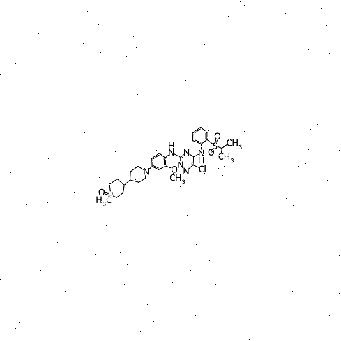 COc1cc(N2CCC(C3CCP(C)(=O)CC3)CC2)ccc1Nc1nnc(Cl)c(Nc2ccccc2S(=O)(=O)C(C)C)n1